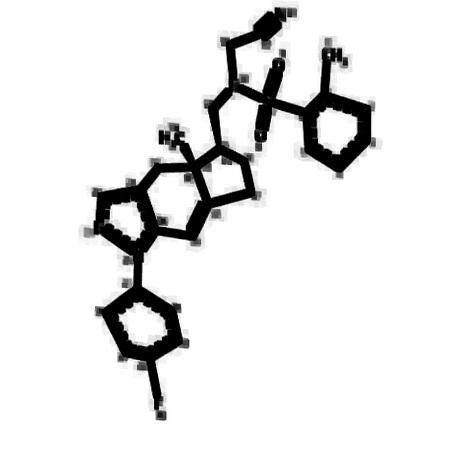 Cc1ccccc1S(=O)(=O)N(CC#N)C[C@H]1CCC2=Cc3c(cnn3-c3ccc(F)cc3)C[C@@]21C